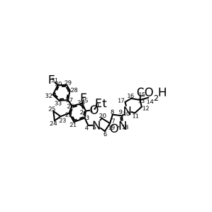 CCOc1c(CN2CC3(CC(N4CCC(C)(C(=O)O)CC4)=NO3)C2)cc(C2CC2)c(-c2ccc(F)cc2)c1F